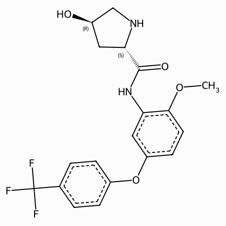 COc1ccc(Oc2ccc(C(F)(F)F)cc2)cc1NC(=O)[C@@H]1C[C@@H](O)CN1